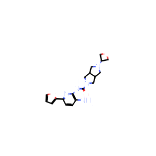 Nc1ccc(-c2ccco2)nc1NC(=O)N1CC2CN(C3COC3)CC2C1